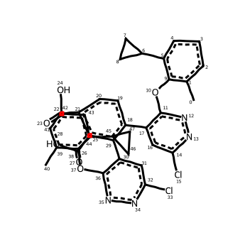 Cc1cccc(C2CC2)c1Oc1nnc(Cl)cc1-c1ccc(C(=O)O)c(C(=O)O)c1-c1cc(Cl)nnc1Oc1c(C)cccc1C1CC1